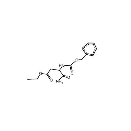 CCOC(=O)CC(NC(=O)OCc1ccccc1)C(N)=O